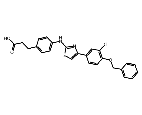 O=C(O)CCc1ccc(Nc2nc(-c3ccc(OCc4ccccc4)c(Cl)c3)cs2)cc1